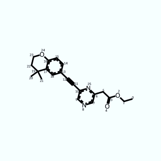 CCOC(=O)Cc1cncc(C#Cc2ccc3c(c2)C(C)(C)CCO3)n1